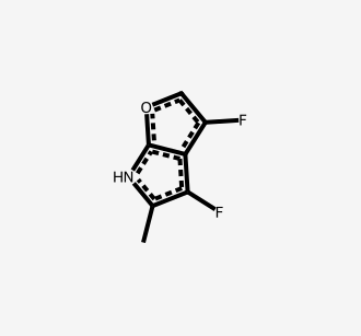 Cc1[nH]c2occ(F)c2c1F